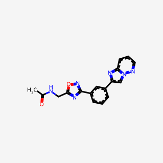 CC(=O)NCc1nc(-c2cccc(-c3cn4ncccc4n3)c2)no1